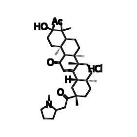 CC(=O)[C@]1(O)CC[C@@]2(C)C(CC[C@]3(C)C2C(=O)C=C2[C@H]4C[C@@](C)(C(=O)CC5CCCN5C)CC[C@]4(C)CC[C@]23C)C1(C)C.Cl